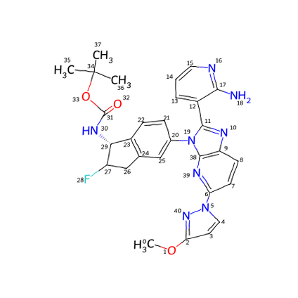 COc1ccn(-c2ccc3nc(-c4cccnc4N)n(-c4ccc5c(c4)CC(F)[C@@H]5NC(=O)OC(C)(C)C)c3n2)n1